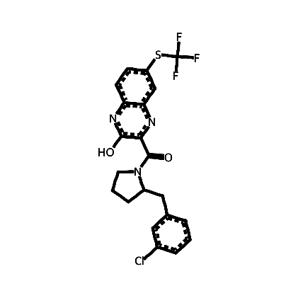 O=C(c1nc2cc(SC(F)(F)F)ccc2nc1O)N1CCCC1Cc1cccc(Cl)c1